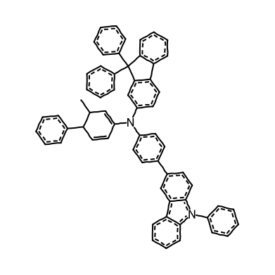 CC1C=C(N(c2ccc(-c3ccc4c(c3)c3ccccc3n4-c3ccccc3)cc2)c2ccc3c(c2)C(c2ccccc2)(c2ccccc2)c2ccccc2-3)C=CC1c1ccccc1